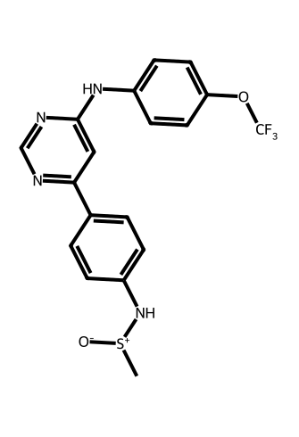 C[S+]([O-])Nc1ccc(-c2cc(Nc3ccc(OC(F)(F)F)cc3)ncn2)cc1